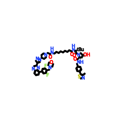 Cc1ncsc1-c1ccc(CNC(=O)[C@@H]2C[C@@H](O)CN2C(=O)[C@@H](NC(=O)CCCCCCCCNC(=O)CN2CCC(n3cc(-c4cnc5cccc(-c6cc(F)c(CN7CCOCC7)c(F)c6)c5n4)cn3)CC2)C(C)(C)C)cc1